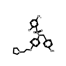 O=S(=O)(c1cc(C(F)(F)F)ccc1Cl)N(Cc1ccc(O)cc1)c1ccc(OCCN2CCCC2)cc1